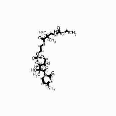 CCOC(=O)NCC(C)(C)C(=O)SCCOP1(=O)OC[C@H]2O[C@@H](n3ccc(N)nc3=O)[C@](C)(O)[C@@H]2O1